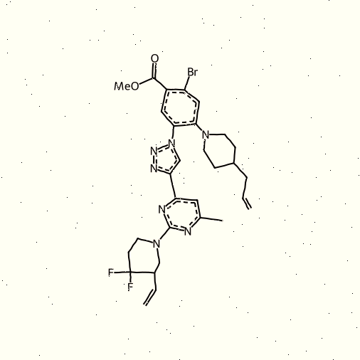 C=CCC1CCN(c2cc(Br)c(C(=O)OC)cc2-n2cc(-c3cc(C)nc(N4CCC(F)(F)C(C=C)C4)n3)nn2)CC1